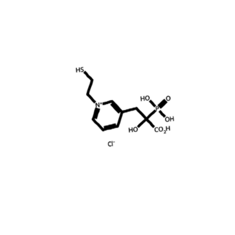 O=C(O)C(O)(Cc1ccc[n+](CCS)c1)P(=O)(O)O.[Cl-]